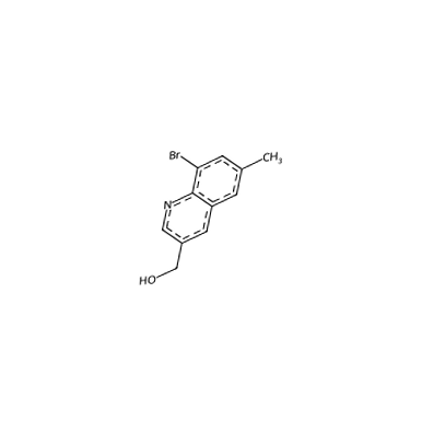 Cc1cc(Br)c2ncc(CO)cc2c1